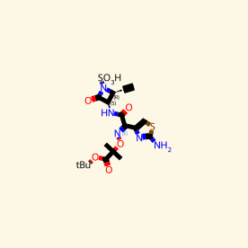 C#C[C@@H]1[C@H](NC(=O)/C(=N/OC(C)(C)C(=O)OC(C)(C)C)c2csc(N)n2)C(=O)N1S(=O)(=O)O